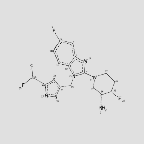 N[C@@H]1CN(c2nc3cc(F)ccc3n2Cc2nnc(C(F)F)s2)CCC1F